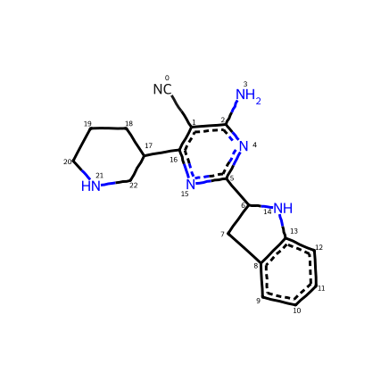 N#Cc1c(N)nc(C2Cc3ccccc3N2)nc1C1CCCNC1